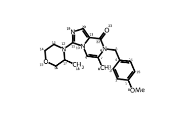 COc1ccc(Cn2c(C)cn3c(N4CCOCC4C)ncc3c2=O)cc1